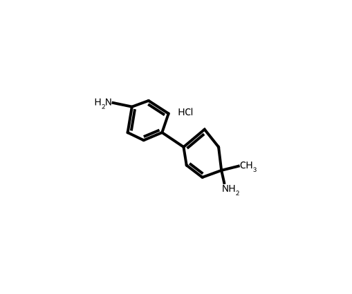 CC1(N)C=CC(c2ccc(N)cc2)=CC1.Cl